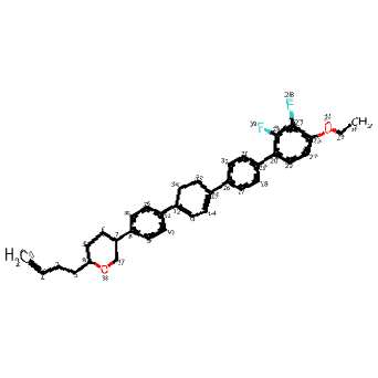 C=CCCC1CCC(c2ccc(C3=CC=C(c4ccc(-c5ccc(OCC)c(F)c5F)cc4)CC3)cc2)CO1